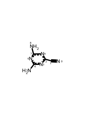 N#Cc1nc(N)nc(N)n1